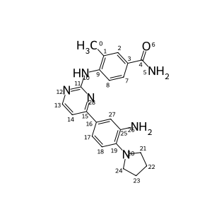 Cc1cc(C(N)=O)ccc1Nc1nccc(-c2ccc(N3CCCC3)c(N)c2)n1